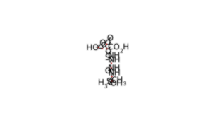 C[Si](C)(O)CCCNC(=O)NCCCNC(=S)Nc1ccc(-c2c3ccc(=O)cc-3oc3cc(O)ccc23)c(C(=O)O)c1